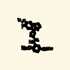 COc1ccc(OC)c(NC(=S)N2CCC(c3ccc(C)c(F)c3)(c3nccs3)C2)c1